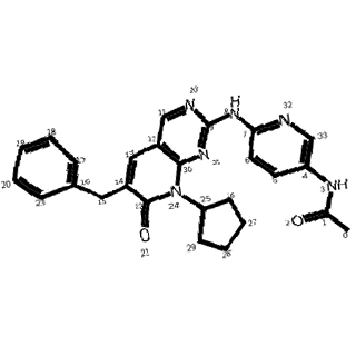 CC(=O)Nc1ccc(Nc2ncc3cc(Cc4ccccc4)c(=O)n(C4CCCC4)c3n2)nc1